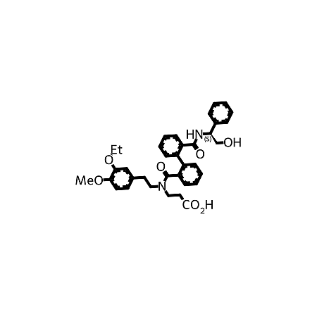 CCOc1cc(CCN(CCC(=O)O)C(=O)c2ccccc2-c2ccccc2C(=O)N[C@H](CO)c2ccccc2)ccc1OC